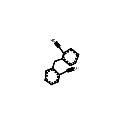 C#Cc1ccccc1Cc1ccccc1C#C